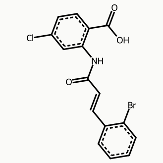 O=C(/C=C/c1ccccc1Br)Nc1cc(Cl)ccc1C(=O)O